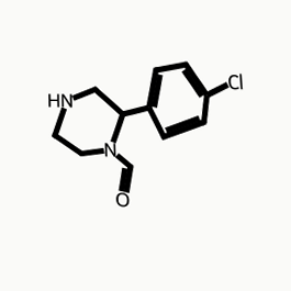 O=CN1CCNCC1c1ccc(Cl)cc1